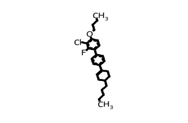 CCCCCC1CC=C(c2ccc(-c3ccc(OCCCC)c(Cl)c3F)cc2)CC1